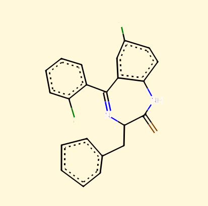 S=C1Nc2ccc(Cl)cc2C(c2ccccc2Cl)=NC1Cc1ccccc1